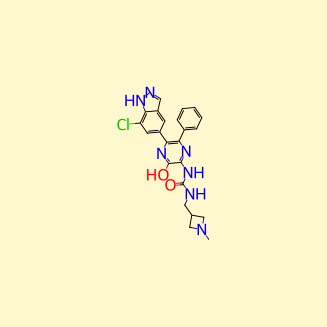 CN1CC(CNC(=O)Nc2nc(-c3ccccc3)c(-c3cc(Cl)c4[nH]ncc4c3)nc2O)C1